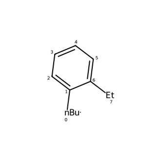 CCC[CH]c1ccccc1CC